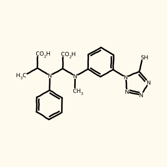 CC(C(=O)O)N(c1ccccc1)C(C(=O)O)N(C)c1cccc(-n2nnnc2S)c1